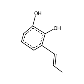 CC=Cc1cccc(O)c1O